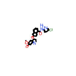 COc1cc2nccc(Oc3ccc4c(C(=O)Nc5ccc(Cl)cn5)cccc4c3)c2cc1OC